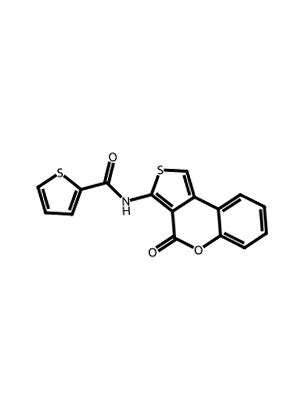 O=C(Nc1scc2c1c(=O)oc1ccccc12)c1cccs1